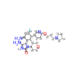 Cn1c(N)c(-c2cc(-c3ccc(OCCCN4CCCC4)nc3)c(F)cc2N)n(C2CCOCC2)c1=O